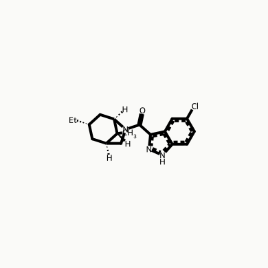 CC[C@H]1C[C@@H]2CN(C(=O)c3n[nH]c4ccc(Cl)cc34)[C@H](C1)[C@@H]2C